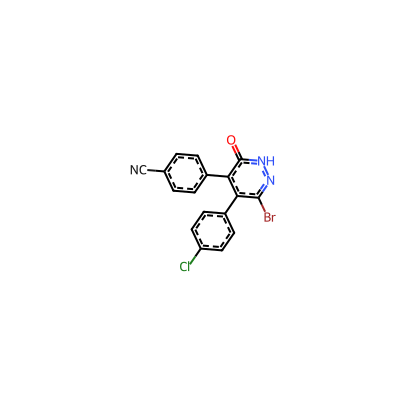 N#Cc1ccc(-c2c(-c3ccc(Cl)cc3)c(Br)n[nH]c2=O)cc1